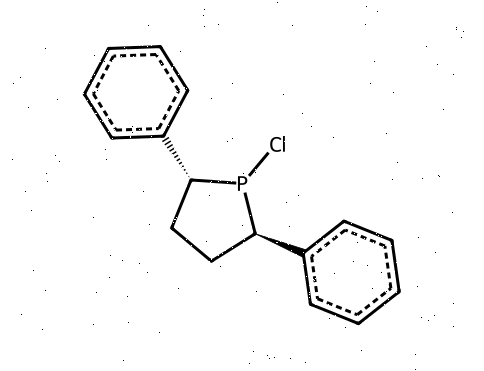 ClP1[C@@H](c2ccccc2)CC[C@@H]1c1ccccc1